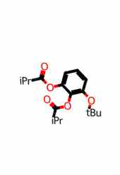 CC(C)C(=O)Oc1cccc(OC(C)(C)C)c1OC(=O)C(C)C